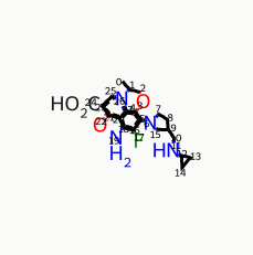 CC1COc2c(N3CCC(CNC4CC4)C3)c(F)c(N)c3c(=O)c(C(=O)O)cn1c23